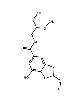 COC(CNC(=O)c1cc(O)c2c(c1)CB(N=O)O2)OC